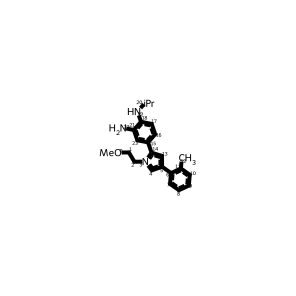 COCCn1cc(-c2ccccc2C)cc1-c1ccc(NC(C)C)c(N)c1